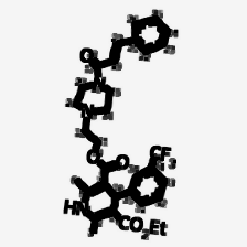 CCOC(=O)C1=C(C)NC(C)=C(C(=O)OCCN2CCN(C(=O)C=Cc3ccccc3)CC2)C1c1cccc(C(F)(F)F)c1